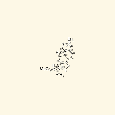 COC=C[C@@H](C)[C@H]1CCC2C3CC=C4C[C@@H](C)CC[C@]4(C)C3CC[C@@]21C